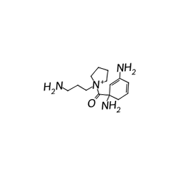 NCCC[N+]1(C(=O)C2(N)C=C(N)C=CC2)CCCC1